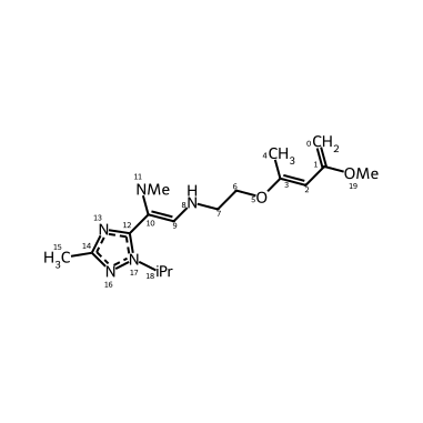 C=C(/C=C(\C)OCCN/C=C(\NC)c1nc(C)nn1C(C)C)OC